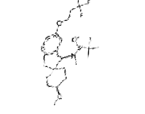 CO[C@H]1CC[C@]2(CC1)Cc1ccc(OCCC(F)(F)F)cc1C2N(C)[S+]([O-])C(C)(C)C